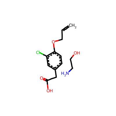 C=CCOc1ccc(CC(=O)O)cc1Cl.NCCO